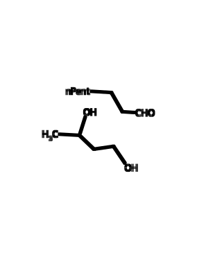 CC(O)CCO.CCCCCCCC=O